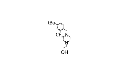 CC(C)(C)c1ccc(CN2CCN(CCO)CC2)c(C(F)(F)F)c1